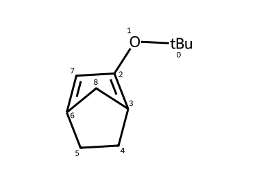 CC(C)(C)OC1=C2CCC(=C1)C2